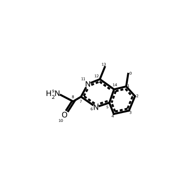 Cc1cccc2nc(C(N)=O)nc(C)c12